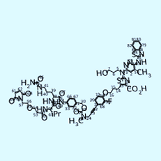 Cc1cc(N(CCCO)c2nc(C(=O)O)c(CCCOc3ccc(C#CCN(C)C(=O)OCc4ccc(NC(=O)C(CCCNC(N)=O)NC(=O)C(NC(=O)CCOCCN5C(=O)C=CC5=O)C(C)C)cc4)cc3F)s2)nnc1Nc1nc2ccccc2s1